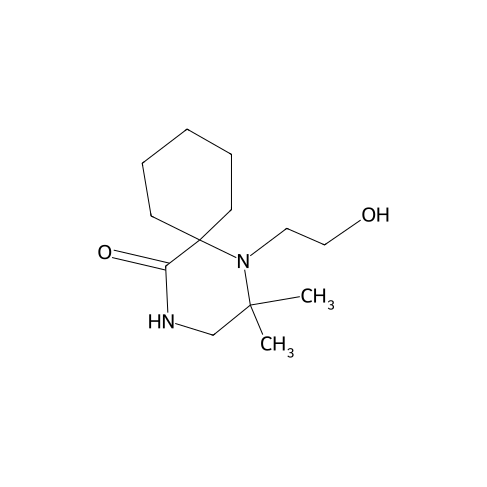 CC1(C)CNC(=O)C2(CCCCC2)N1CCO